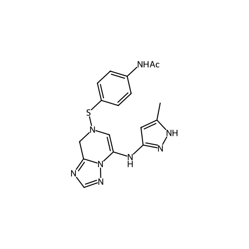 CC(=O)Nc1ccc(SN2C=C(Nc3cc(C)[nH]n3)n3ncnc3C2)cc1